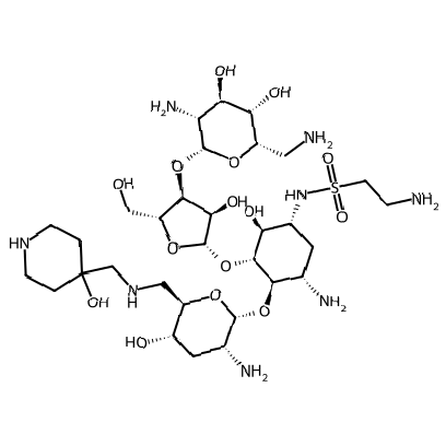 NCCS(=O)(=O)N[C@@H]1C[C@H](N)[C@@H](O[C@H]2O[C@H](CNCC3(O)CCNCC3)[C@@H](O)C[C@H]2N)[C@H](O[C@@H]2O[C@H](CO)[C@@H](O[C@H]3O[C@@H](CN)[C@@H](O)[C@H](O)[C@H]3N)[C@H]2O)[C@H]1O